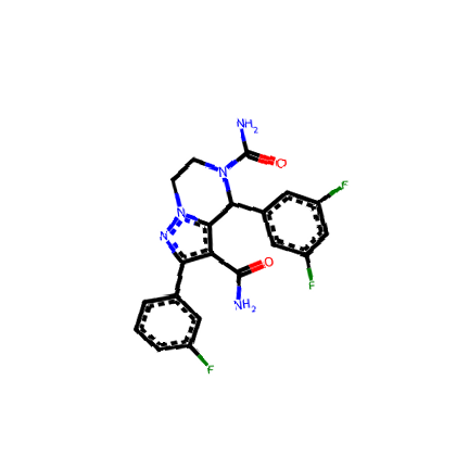 NC(=O)c1c(-c2cccc(F)c2)nn2c1C(c1cc(F)cc(F)c1)N(C(N)=O)CC2